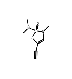 C#CC1=CN(C)P(=S)(N(C)C)O1